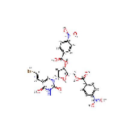 O=C(OC[C@@H]1O[C@H](n2cc(/C=C/Br)c(=O)[nH]c2=O)CC1OC(=O)c1ccc([N+](=O)[O-])cc1)c1ccc([N+](=O)[O-])cc1